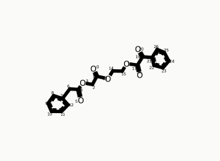 O=C(COC(=O)Cc1ccccc1)OCCOC(=O)C(=O)c1ccccc1